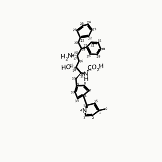 Cc1ccnc(-c2ccc(C[C@H](NC(=O)O)[C@H](O)C[C@H](N)C(Cc3ccccc3)c3ccccc3)cc2)c1